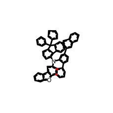 c1ccc(-c2ccc(-c3ccc4ccccc4c3)cc2N(c2ccc3oc4ccccc4c3c2)c2cccc3c2-c2ccccc2C3(c2ccccc2)c2ccccc2)cc1